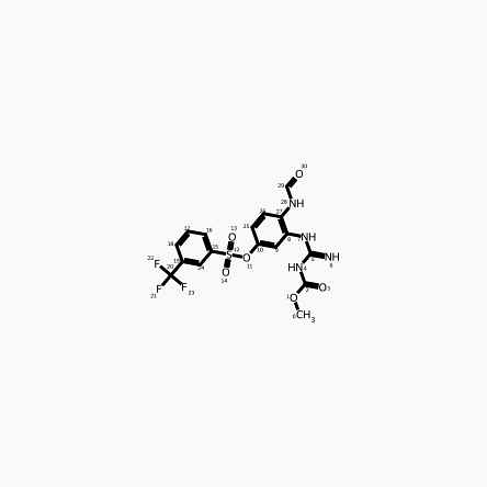 COC(=O)NC(=N)Nc1cc(OS(=O)(=O)c2cccc(C(F)(F)F)c2)ccc1NC=O